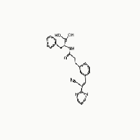 N#CC(=Cc1cccc(CCC(=O)N[C@@H](Cc2ccccc2)B(O)O)c1)c1ncccn1